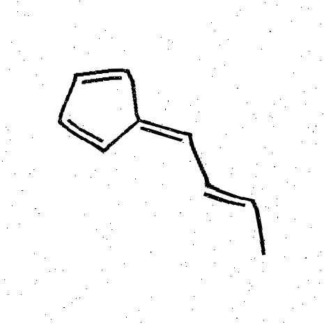 CC=CC=C1C=CC=C1